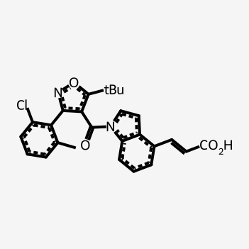 Cc1cccc(Cl)c1-c1noc(C(C)(C)C)c1C(=O)n1ccc2c(/C=C/C(=O)O)cccc21